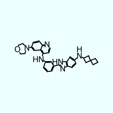 c1cc(Nc2ccnc3ccc(N4CCOCC4)cc23)cc(-c2nc3ccc(NC4CC5(CCC5)C4)cc3[nH]2)c1